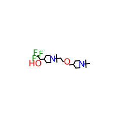 CC(C)(C)N1CCC(COCCC(C)(C)N2CCC(C(O)C(F)(F)F)CC2)CC1